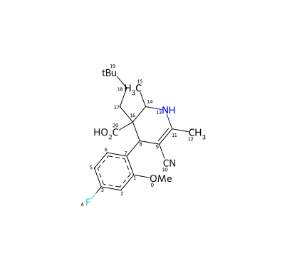 COc1cc(F)ccc1C1C(C#N)=C(C)NC(C)C1(CCC(C)(C)C)C(=O)O